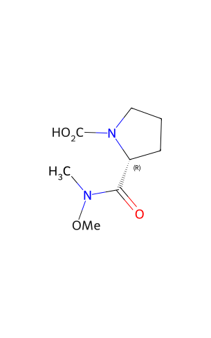 CON(C)C(=O)[C@H]1CCCN1C(=O)O